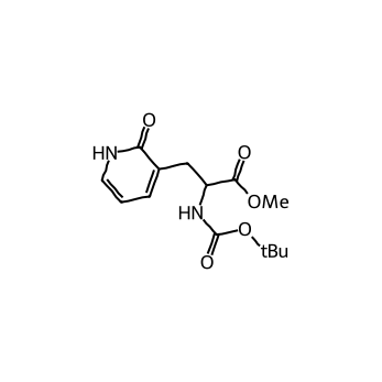 COC(=O)C(Cc1ccc[nH]c1=O)NC(=O)OC(C)(C)C